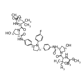 COC(=O)NC(C(=O)N1C[C@@H](O)C[C@H]1C(=O)Nc1ccc([C@@H]2CC[C@@H](c3ccc(NC(=O)[C@@H]4C[C@H](O)CN4C(=O)[C@@H](NC(=O)OC)C(C)(C)C)cc3)N2c2ccc(F)cc2)cc1)C(C)(C)C